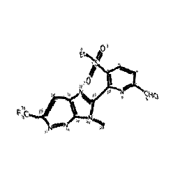 CCS(=O)(=O)c1ccc(C=O)nc1-c1nc2cc(C(F)(F)F)nnc2n1C